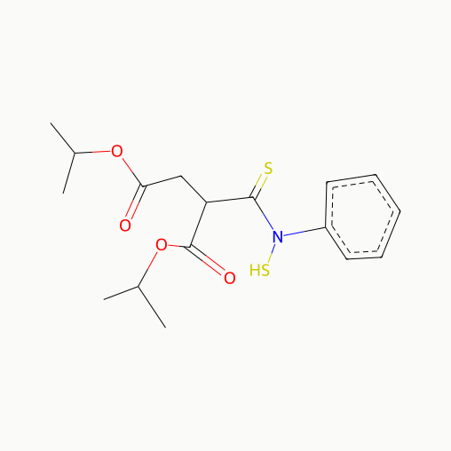 CC(C)OC(=O)CC(C(=O)OC(C)C)C(=S)N(S)c1ccccc1